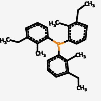 CCc1cccc(P(c2cccc(CC)c2C)c2cccc(CC)c2C)c1C